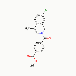 CC1=CN(C(=O)c2ccc(C(=O)OC(C)(C)C)cc2)Cc2cc(Br)ccc21